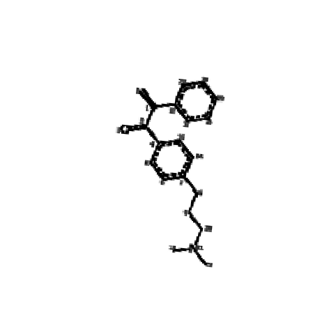 C=C(C(=O)c1ccc(CCCN(C)C)cc1)c1ccccc1